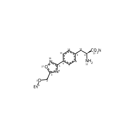 CCOCc1nc(-c2ccc(C[C@H](N)C(=O)O)cc2)no1